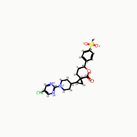 CS(=O)(=O)c1ccc(C2CCC3(CC3C3CCN(c4ncc(Cl)cn4)CC3)C(=O)O2)cc1